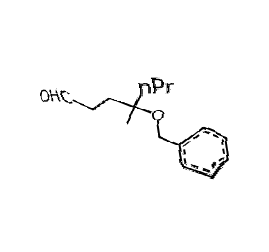 CCCC(C)(CCC=O)OCc1ccccc1